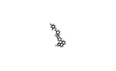 O=S(=O)(CC1CCC(c2ccnc3cnc4[nH]ccc4c23)CC1)N1CCCC(COc2ccc(F)cc2F)C1